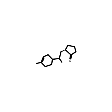 CC1=CCC(C(C)C[C@H]2CCCC2=O)CC1